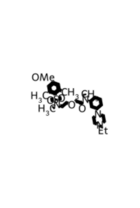 CCN1CCN([C@@H]2CCC[C@H](N(C)C(=O)COCCN(C)S(=O)(=O)c3c(C)cc(OC)cc3C)C2)CC1